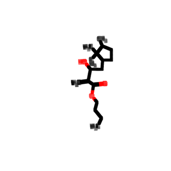 C=C(C(=O)OCCCC)C(O)CC1CCC(C)C1(C)C